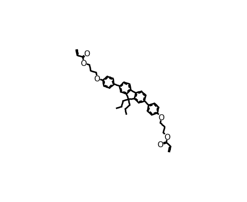 C=CC(=O)OCCCOc1ccc(-c2ccc3c(c2)C(CCC)(CCC)c2cc(-c4ccc(OCCCOC(=O)C=C)cc4)ccc2-3)cc1